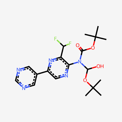 CC(C)(C)OC(=O)N(c1ncc(-c2cncnc2)nc1C(F)F)C(O)OC(C)(C)C